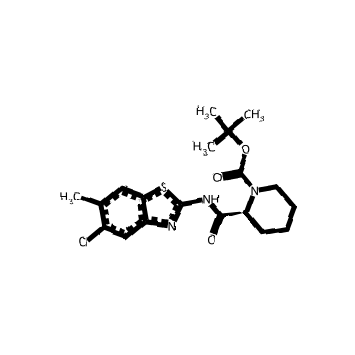 Cc1cc2sc(NC(=O)[C@@H]3CCCCN3C(=O)OC(C)(C)C)nc2cc1Cl